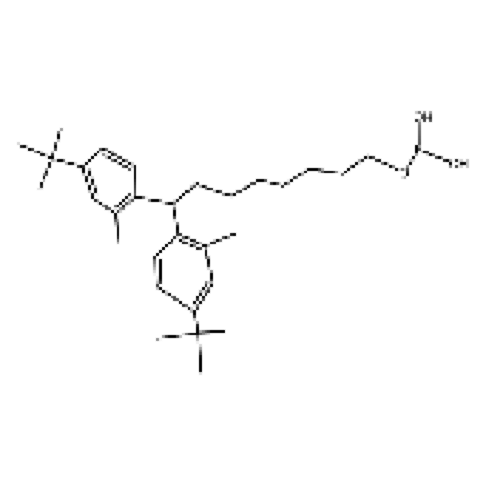 Cc1cc(C(C)(C)C)ccc1C(CCCCCCCOP(O)O)c1ccc(C(C)(C)C)cc1C